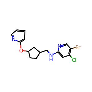 Clc1cc(NCC2CCC(Oc3ccccn3)C2)ncc1Br